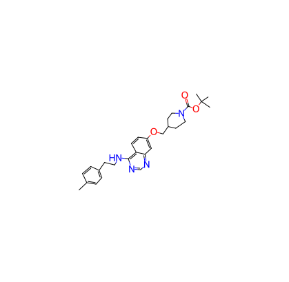 Cc1ccc(CCNc2ncnc3cc(OCC4CCN(C(=O)OC(C)(C)C)CC4)ccc23)cc1